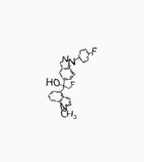 Cn1ccc2c(C(O)(CF)c3ccc4c(cnn4-c4ccc(F)cc4)c3)cccc21